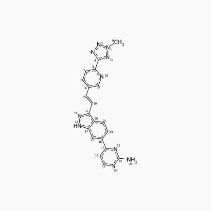 Cn1nnc(-c2ccc(/C=C/c3n[nH]c4cc(-c5ccnc(N)n5)ccc34)cn2)n1